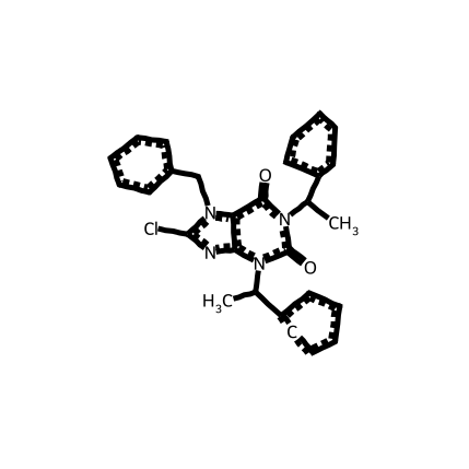 CC(c1ccccc1)n1c(=O)c2c(nc(Cl)n2Cc2ccccc2)n(C(C)c2ccccc2)c1=O